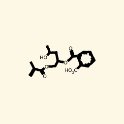 C=C(C)C(=O)OCC(CC(C)O)OC(=O)c1ccccc1C(=O)O